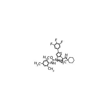 Cc1cc(C)c(NC(=O)Nc2cc(-c3cc(F)c(F)c(F)c3)sc2C(=O)NC2(C(=O)O)CCCCC2)c(C)c1